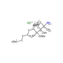 CCCCCCCCCCCCCCC(OC)C([SiH3])(OC)C(CCC)(OC)C(C)(C)N.Cl